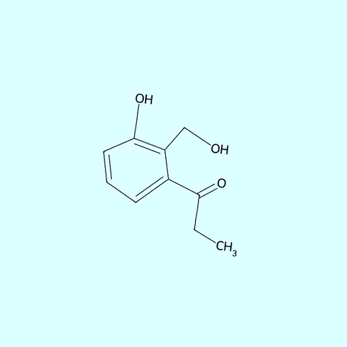 CCC(=O)c1cccc(O)c1CO